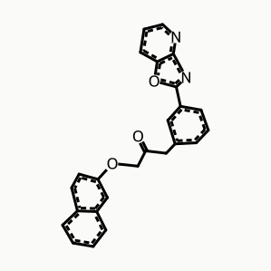 O=C(COc1ccc2ccccc2c1)Cc1cccc(-c2nc3ncccc3o2)c1